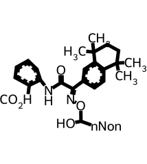 CCCCCCCCCC(O)O/N=C(/C(=O)Nc1ccccc1C(=O)O)c1ccc2c(c1)C(C)(C)CCC2(C)C